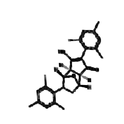 Cc1cc(C)c(C2=C(O)[C@H]3[C@@H](C2=O)[C@@H]2CC(c4c(C)cc(C)cc4C)[C@H]3O2)c(C)c1